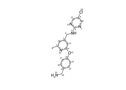 Cc1cc(CNc2ncc(Cl)cn2)cc(Oc2ccc(CN)cc2)n1